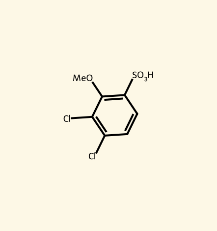 COc1c(S(=O)(=O)O)ccc(Cl)c1Cl